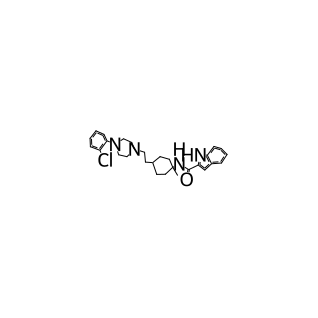 CC1(NC(=O)c2cc3ccccc3[nH]2)CCC(CCN2CCN(c3ccccc3Cl)CC2)CC1